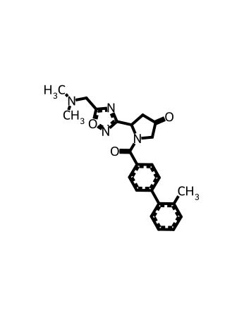 Cc1ccccc1-c1ccc(C(=O)N2CC(=O)CC2c2noc(CN(C)C)n2)cc1